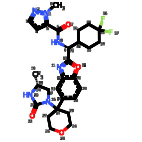 Cn1nccc1C(=O)N[C@H](c1nc2cc(C3(N4C[C@@H](C(F)(F)F)NC4=O)CCOCC3)ccc2o1)C1CCC(F)(F)CC1